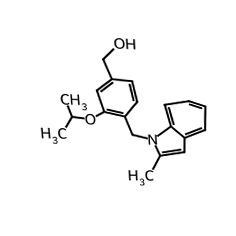 Cc1cc2ccccc2n1Cc1ccc(CO)cc1OC(C)C